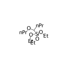 CCCOC(CCC)[Si](OCC)(OCC)OCC